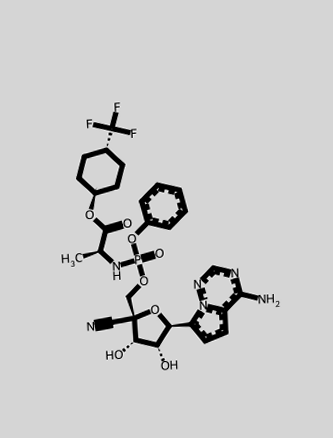 C[C@H](NP(=O)(OC[C@@]1(C#N)O[C@@H](c2ccc3c(N)ncnn23)[C@H](O)[C@@H]1O)Oc1ccccc1)C(=O)O[C@H]1CC[C@H](C(F)(F)F)CC1